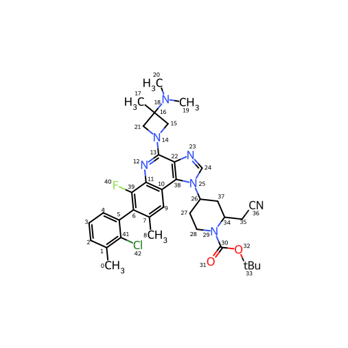 Cc1cccc(-c2c(C)cc3c(nc(N4CC(C)(N(C)C)C4)c4ncn(C5CCN(C(=O)OC(C)(C)C)C(CC#N)C5)c43)c2F)c1Cl